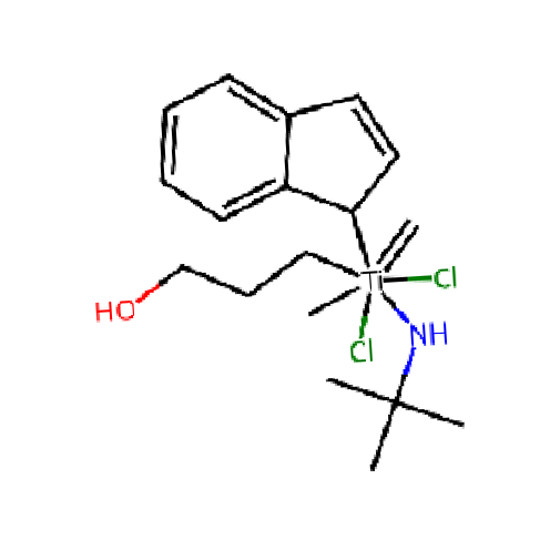 [CH2]=[Ti]([CH3])([Cl])([Cl])([CH2]CCO)([NH]C(C)(C)C)[CH]1C=Cc2ccccc21